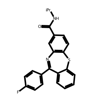 CC(C)NC(=O)c1ccc2c(c1)N=C(c1ccc(F)cc1)c1ccccc1S2